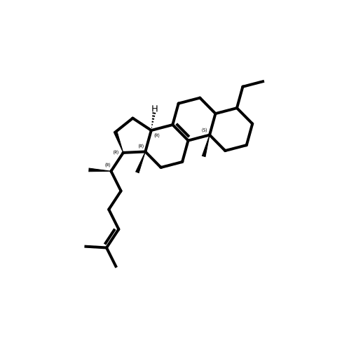 CCC1CCC[C@]2(C)C3=C(CCC12)[C@@H]1CC[C@H]([C@H](C)CCC=C(C)C)[C@@]1(C)CC3